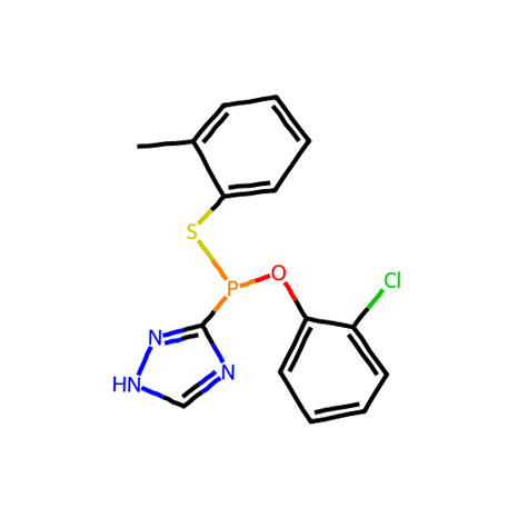 Cc1ccccc1SP(Oc1ccccc1Cl)c1nc[nH]n1